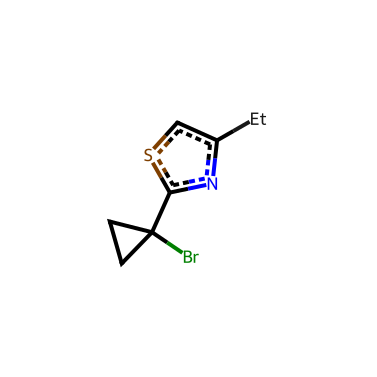 CCc1csc(C2(Br)CC2)n1